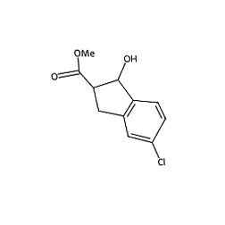 COC(=O)C1Cc2cc(Cl)ccc2C1O